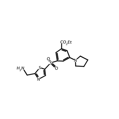 CCOC(=O)c1cc(N2CCCC2)cc(S(=O)(=O)c2cnc(CN)s2)c1